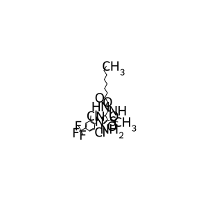 CCCCCCCC(=O)ONC(=N)c1nn(-c2c(Cl)cc(C(F)(F)F)cc2Cl)c(N)c1S(C)(=O)=O